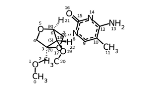 COC[C@@]12CO[C@@H]([C@H](n3cc(C)c(N)nc3=O)O1)[C@@H]2OC